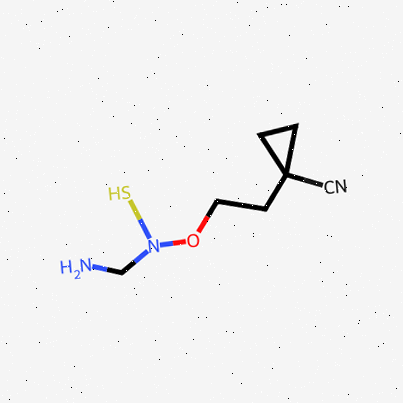 N#CC1(CCON(S)CN)CC1